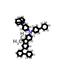 CC1(C)c2cc(-c3ccccc3-c3ccccc3)ccc2-c2ccc(N(c3ccc(C4CCCCC4)cc3)c3ccc(C45CC6CC(CC(C6)C4)C5)cc3)cc21